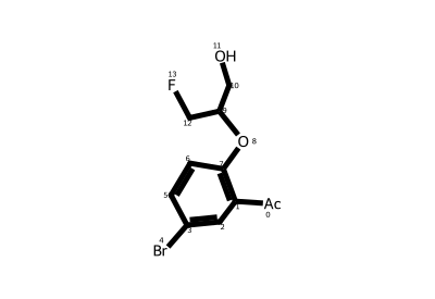 CC(=O)c1cc(Br)ccc1OC(CO)CF